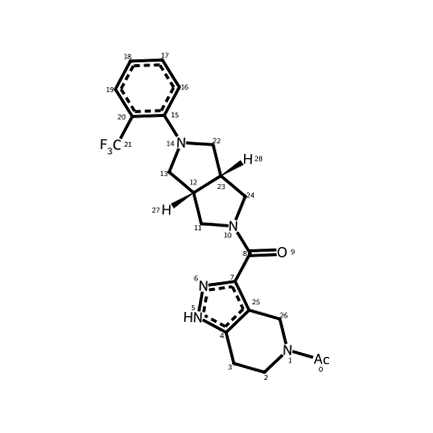 CC(=O)N1CCc2[nH]nc(C(=O)N3C[C@@H]4CN(c5ccccc5C(F)(F)F)C[C@@H]4C3)c2C1